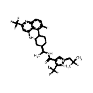 CC(NC(=O)c1cn(CC(C)(C)F)nc1C(F)(F)F)C1CCC(c2c(Cl)ccc3nc(C(F)(F)F)cc(N)c23)CC1